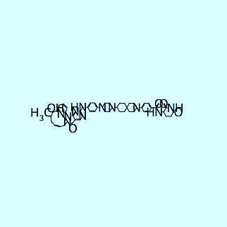 C[C@@]1(O)CC/C=C\Cn2c(=O)c3cnc(Nc4ccc(N5CCN(C6CCC7(CC6)CCN(c6ccc(C(=O)NC8CCC(=O)NC8=O)cc6)CC7)CC5)cc4)nc3n2-c2cccc1n2